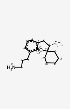 C[C@@H](Cc1cccc(CCCN)c1)C1(O)CCCCC1